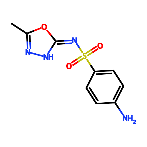 Cc1n[nH]/c(=N\S(=O)(=O)c2ccc(N)cc2)o1